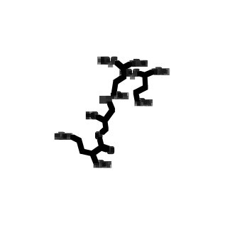 CCCCCCCCCCCCC(CCCCCCCCCC)C(=O)O.CCCCCCCCCCCCC(CCCCCCCCCC)C(=O)O.CCCCCCCCCCCCC(CCCCCCCCCC)C(=O)OCC(O)CO